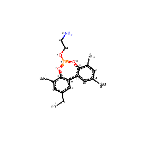 CC(C)Cc1cc(C(C)(C)C)c2op(OCCN)oc3c(C(C)(C)C)cc(C(C)(C)C)cc3c2c1